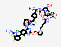 Cc1ncsc1-c1ccc([C@H](C)NC(=O)[C@@H]2C[C@@H](O)CN2C(=O)[C@@H](NC(=O)CCCCN2CCC[C@H]2COc2nc(N3CC4CCC(C3)N4)c3cc(Cl)c(-c4ccc(F)c5sc(N)nc45)c(F)c3n2)C(C)(C)C)cc1